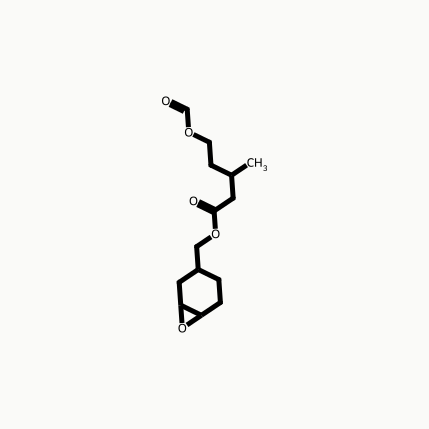 CC(CCOC=O)CC(=O)OCC1CCC2OC2C1